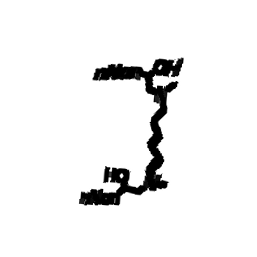 CCCCCCCCCC(O)CN(C)CCCCCCN(C)CC(O)CCCCCCCCC